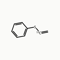 C=[13CH]Sc1ccccc1